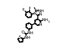 CN1NN=C(c2cc(-c3cccc(NC(=O)Nc4cccs4)c3)cnc2N)N1c1cccc(F)c1F